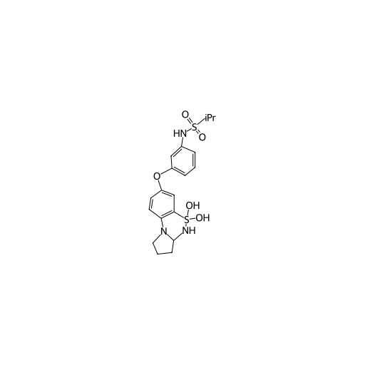 CC(C)S(=O)(=O)Nc1cccc(Oc2ccc3c(c2)S(O)(O)NC2CCCN32)c1